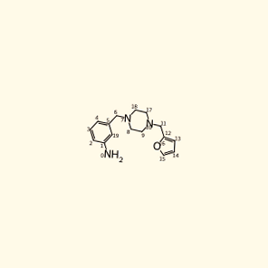 Nc1cccc(CN2CCN(Cc3ccco3)CC2)c1